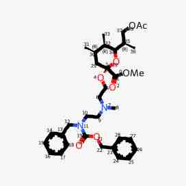 COC(=O)[C@@]1(OCCN(C)CCN(Cc2ccccc2)C(=O)OCc2ccccc2)C[C@@H](C)[C@@H](C)C([C@H](C)COC(C)=O)O1